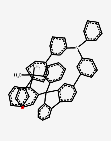 CC1(C)c2ccccc2C2(c3ccccc3-c3ccc(-c4cccc(N(c5ccccc5)c5cccc(-c6ccc(-c7ccccc7)cc6)c5)c4)cc32)c2ccccc21